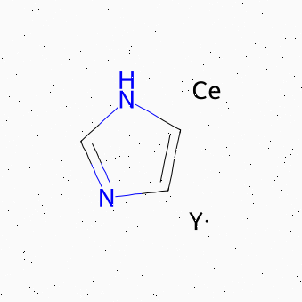 [Ce].[Y].c1c[nH]cn1